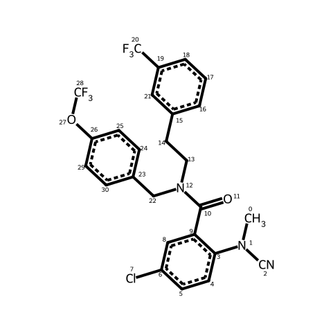 CN(C#N)c1ccc(Cl)cc1C(=O)N(CCc1cccc(C(F)(F)F)c1)Cc1ccc(OC(F)(F)F)cc1